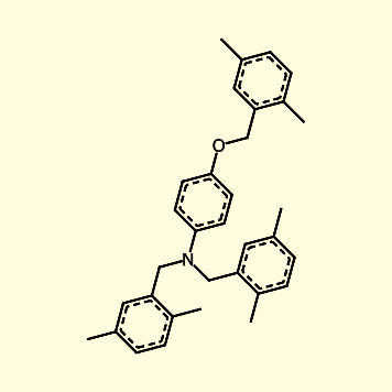 Cc1ccc(C)c(COc2ccc(N(Cc3cc(C)ccc3C)Cc3cc(C)ccc3C)cc2)c1